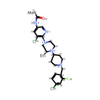 CC[C@H]1CN(c2ncc(NC(=O)NC)cc2Cl)CCN1C1CCN(Cc2ccc(Cl)cc2F)CC1